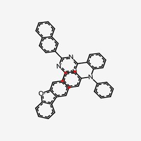 c1ccc(N(c2ccccc2)c2ccccc2-c2nc(-c3ccc4ccccc4c3)nc(-c3ccc4c(c3)oc3ccccc34)n2)cc1